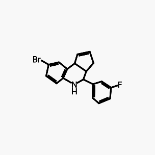 Fc1cccc(C2Nc3ccc(Br)cc3C3C=CCC32)c1